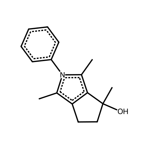 Cc1c2c(c(C)n1-c1ccccc1)C(C)(O)CC2